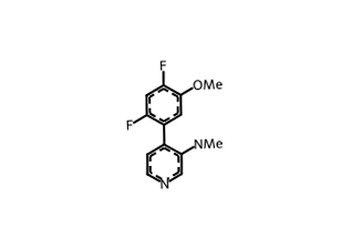 CNc1cnccc1-c1cc(OC)c(F)cc1F